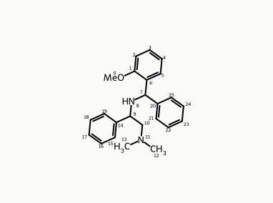 COc1ccccc1C(NC(CN(C)C)c1ccccc1)c1ccccc1